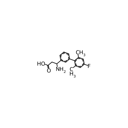 Cc1cc(F)cc(C)c1-c1cccc(C(N)CC(=O)O)c1